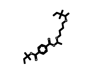 CCC(C)(C)OC(=O)c1ccc(C(=O)OC(C)OCCCCOC(C)C(C)(C)CC)cc1